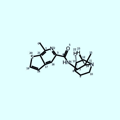 Cc1nc(C(=O)N[C@@H]2C3CCN(CC3)[C@H]2C)cc2ccsc12